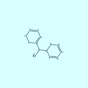 CCC(C1=CC=CCC1)C1C=CC=CC1